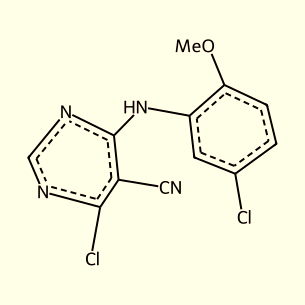 COc1ccc(Cl)cc1Nc1ncnc(Cl)c1C#N